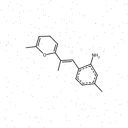 CC1=CCC=C(C(C)=Cc2ccc(C)cc2N)O1